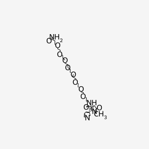 CN1C(=O)C[C@H](C(=O)NCCOCCOCCOCCOCCOCCOCCOCCOCCC(N)=O)[C@H]1c1cccnc1